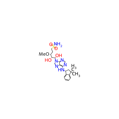 CO[C@H](CCS(N)(=O)=O)[C@@H](O)[C@@H](O)n1cnc2c(NC3CC(C)(C)c4ccccc43)ncnc21